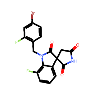 O=C1CC2(C(=O)N1)C(=O)N(Cc1ccc(Br)cc1F)c1c(F)cccc12